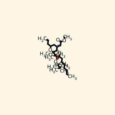 C=CCC1C/C(=C\C(=O)OC)[C@H](OC(=O)CCCCCCC)[C@](OC)(C(C)(C)CO[Si](C)(C)C(C)(C)C)O1